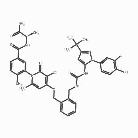 Cc1ccc(C(=O)N[C@H](C)C(N)=O)cc1-n1c(C)cc(OCc2ccccc2CNC(=O)Nc2cc(C(C)(C)C)nn2-c2ccc(O)c(Cl)c2)c(Cl)c1=O